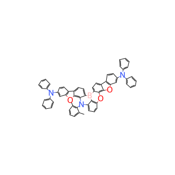 Cc1cccc(C)c1N1c2cccc3c2B(c2ccc4c(oc5cc(N(c6ccccc6)c6ccccc6)ccc54)c2O3)c2ccc3c(oc4cc(N(c5ccccc5)c5ccccc5)ccc43)c21